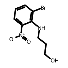 O=[N+]([O-])c1cccc(Br)c1NCCCO